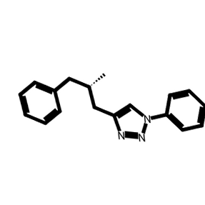 C[C@@H](Cc1ccccc1)Cc1cn(-c2ccccc2)nn1